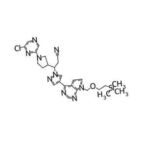 C[Si](C)(C)CCOCn1ccc2c(-c3cnn(C(CC#N)C4CCN(c5cncc(Cl)n5)C4)c3)ncnc21